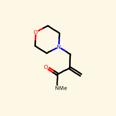 C=C(CN1CCOCC1)C(=O)NC